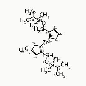 CC(C)[Si](C)(C)O[SiH2]C1=[C]([Zr+2][C]2=C([SiH2]O[Si](C)(C)C(C)C)C=CC2)CC=C1.[Cl-].[Cl-]